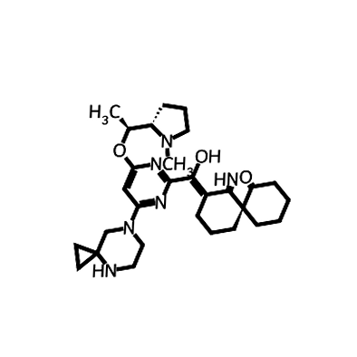 C[C@H](Oc1cc(N2CCNC3(CC3)C2)nc(/C(O)=C2\CCC[C@@]3(CCCCC3=O)C2=N)n1)[C@@H]1CCCN1C